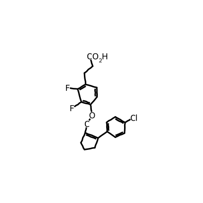 O=C(O)CCc1ccc(OCC2=C(c3ccc(Cl)cc3)CCC2)c(F)c1F